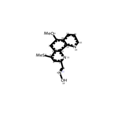 COc1cc2c(SC)cc(/C=N/O)nc2c2ncccc12